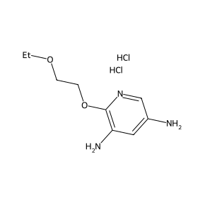 CCOCCOc1ncc(N)cc1N.Cl.Cl